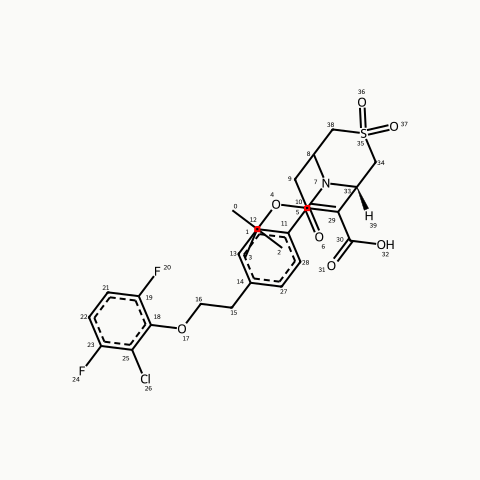 CC(C)(C)OC(=O)N1C2CC(c3ccc(CCOc4c(F)ccc(F)c4Cl)cc3)=C(C(=O)O)[C@H]1CS(=O)(=O)C2